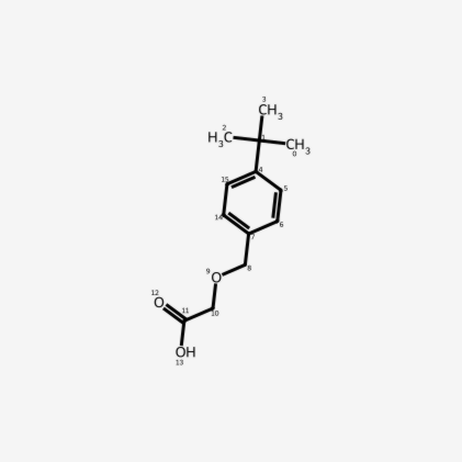 CC(C)(C)c1ccc(COCC(=O)O)cc1